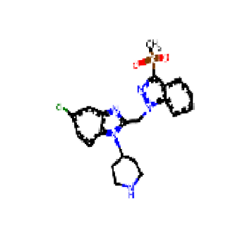 CS(=O)(=O)c1nn(Cc2nc3cc(Cl)ccc3n2C2CCNCC2)c2ccccc12